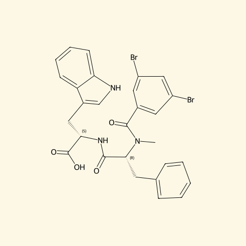 CN(C(=O)c1cc(Br)cc(Br)c1)[C@H](Cc1ccccc1)C(=O)N[C@@H](Cc1c[nH]c2ccccc12)C(=O)O